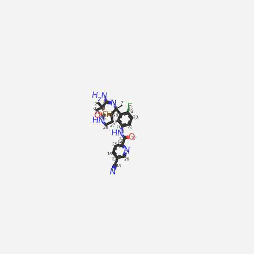 CC1(C)C(N)=N[C@](C)(c2cc(NC(=O)c3ccc(C#N)cn3)ccc2F)C2CCN[SH]21=O